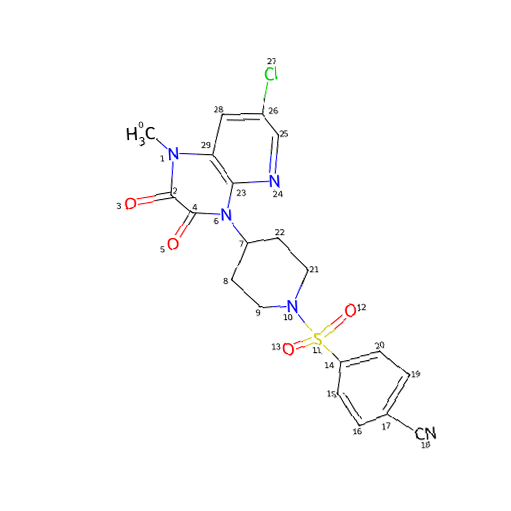 Cn1c(=O)c(=O)n(C2CCN(S(=O)(=O)c3ccc(C#N)cc3)CC2)c2ncc(Cl)cc21